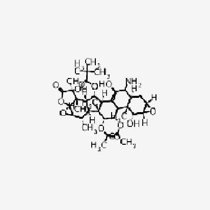 CC(=O)O[C@H]1C2C(=C(O)[C@@H](N)[C@H]3C[C@@H]4O[C@@H]4[C@H](O)[C@]23C)[C@@H]2[C@@H](OC(=O)C(C)(C)C)[C@@H]3[C@H]([C@H](C)[C@H]4O[C@]45OC(=O)[C@@](C)(O)[C@]35C)[C@@]2(C)[C@H]1OC(C)=O